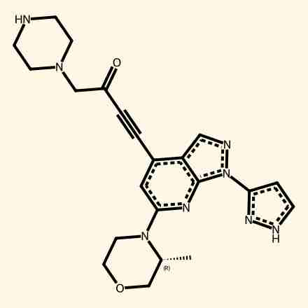 C[C@@H]1COCCN1c1cc(C#CC(=O)CN2CCNCC2)c2cnn(-c3cc[nH]n3)c2n1